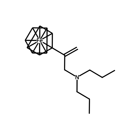 C=C(CN(CCC)CCC)[C]12[CH]3[CH]4[CH]5[CH]1[Fe]45321678[CH]2[CH]1[CH]6[CH]7[CH]28